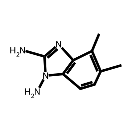 Cc1ccc2c(nc(N)n2N)c1C